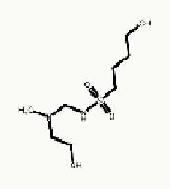 CN(CCO)CNS(=O)(=O)CCCCO